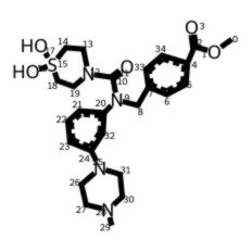 COC(=O)c1ccc(CN(C(=O)N2CCS(O)(O)CC2)c2cccc(N3CCN(C)CC3)c2)cc1